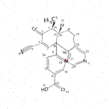 C[C@@H]1C(=O)C(C#N)=CC2(c3ccc(C(=O)O)cc3)c3ncncc3CC[C@@H]12